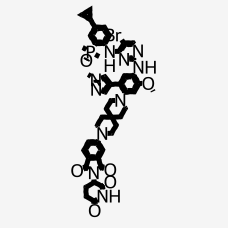 COc1cc(N2CCC3(CCN(c4ccc5c(c4)C(=O)N(C4CCC(=O)NC4=O)C5=O)CC3)CC2)c(-c2cnn(C)c2)cc1Nc1ncc(Br)c(Nc2ccc(C3CC3)cc2P(C)(C)=O)n1